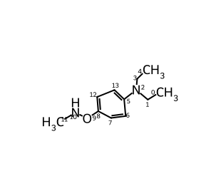 CCN(CC)c1ccc(ONC)cc1